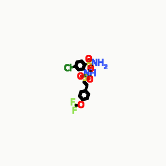 NS(=O)(=O)c1ccc(Cl)cc1NS(=O)(=O)C=Cc1ccc(OC(F)F)cc1